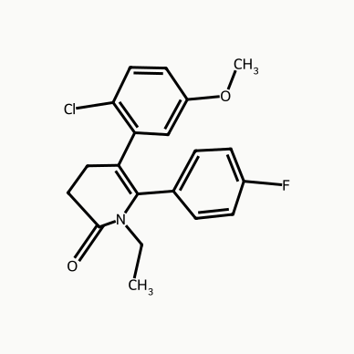 CCN1C(=O)CCC(c2cc(OC)ccc2Cl)=C1c1ccc(F)cc1